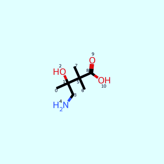 CC(O)(CN)C(C)(C)C(=O)O